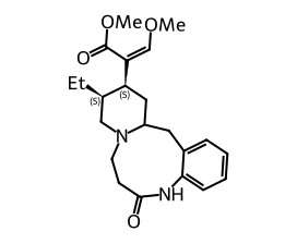 CC[C@@H]1CN2CCC(=O)Nc3ccccc3CC2C[C@@H]1C(=COC)C(=O)OC